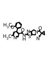 COc1ccccc1-c1cc(C)ncc1C(=O)Nc1nc2c(s1)CN(C(=O)C1(C#N)CC1)C2